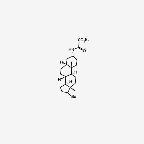 CCOC(=O)C(=O)N[C@@H]1CC[C@@]2(C)[C@H](CC[C@@H]3[C@@H]2CC[C@]2(C)C(C(C)CC)CC[C@@H]32)C1